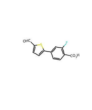 O=Cc1ccc(-c2ccc(C(=O)O)c(F)c2)s1